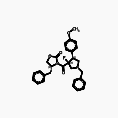 COc1ccc([C@H]2CN(Cc3ccccc3)C[C@]2(F)C(=O)N2C(=O)OC[C@H]2Cc2ccccc2)cc1